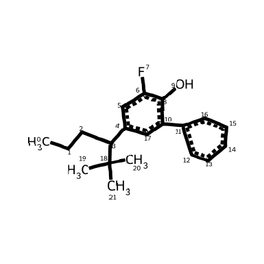 CCCC(c1cc(F)c(O)c(-c2ccccc2)c1)C(C)(C)C